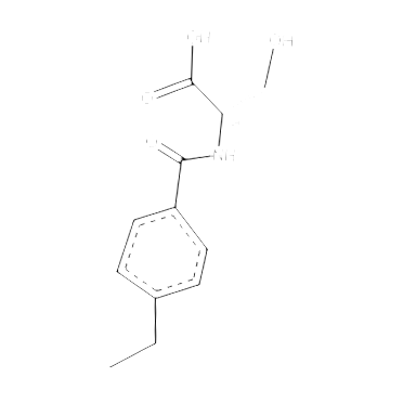 CCc1ccc(C(=O)N[C@@H](CO)C(=O)O)cc1